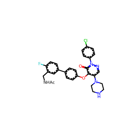 CC(=O)NCc1cc(-c2ccc(Oc3c(N4CCNCC4)cnn(-c4ccc(Cl)cc4)c3=O)cc2)ccc1F